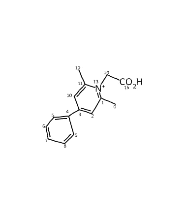 Cc1cc(-c2ccccc2)cc(C)[n+]1CC(=O)O